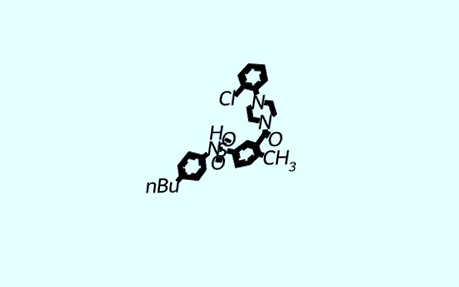 CCCCc1ccc(NS(=O)(=O)c2ccc(C)c(C(=O)N3CCN(c4ccccc4Cl)CC3)c2)cc1